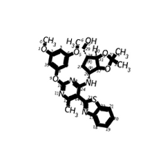 COc1cc(OC)cc(Oc2nc(C)c(-c3nc4ccccc4s3)c(N[C@@H]3C[C@H](CO)[C@H]4OC(C)(C)OC34)n2)c1